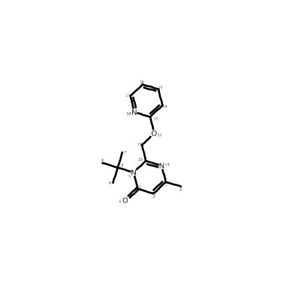 Cc1cc(=O)n(C(C)(C)C)c(COc2ccccn2)n1